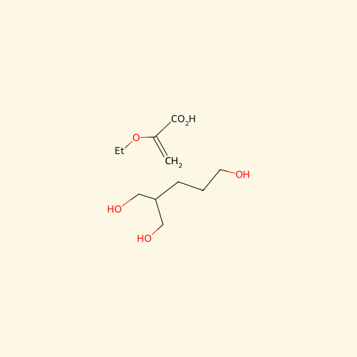 C=C(OCC)C(=O)O.OCCCC(CO)CO